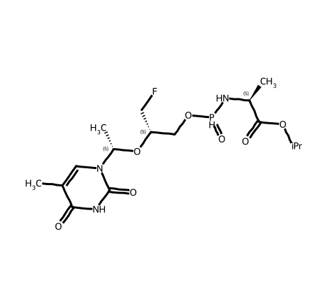 Cc1cn([C@H](C)O[C@H](CF)CO[PH](=O)N[C@@H](C)C(=O)OC(C)C)c(=O)[nH]c1=O